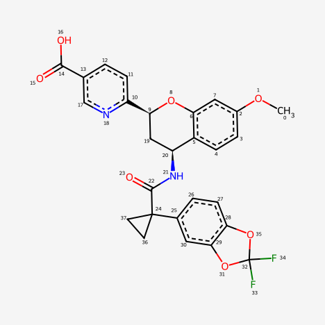 COc1ccc2c(c1)O[C@H](c1ccc(C(=O)O)cn1)C[C@@H]2NC(=O)C1(c2ccc3c(c2)OC(F)(F)O3)CC1